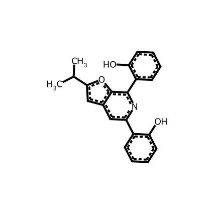 CC(C)c1cc2cc(-c3ccccc3O)nc(-c3ccccc3O)c2o1